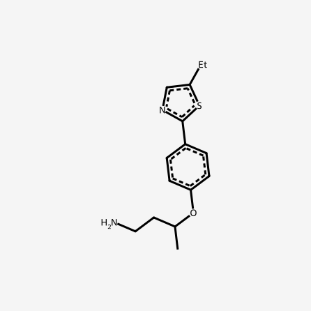 CCc1cnc(-c2ccc(OC(C)CCN)cc2)s1